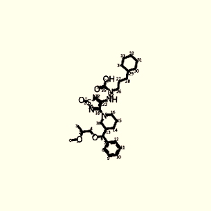 COC(C)COC(c1ccccc1)C1CCCN(c2n[s+]([O-])nc2NN(CCCC2CCCCC2)C(=O)O)C1